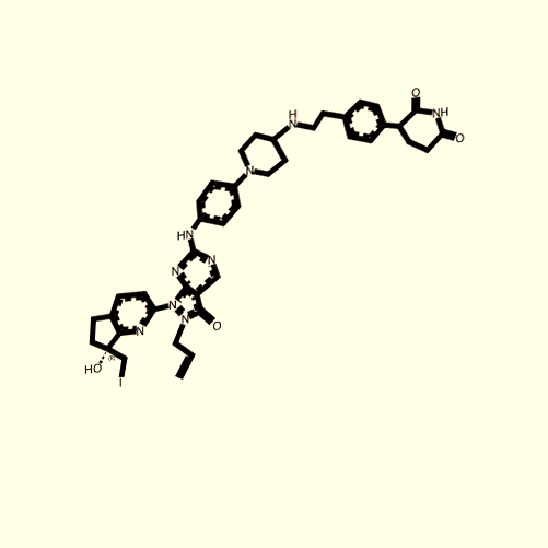 C=CCn1c(=O)c2cnc(Nc3ccc(N4CCC(NCCc5ccc(C6CCC(=O)NC6=O)cc5)CC4)cc3)nc2n1-c1ccc2c(n1)[C@@](O)(CI)CC2